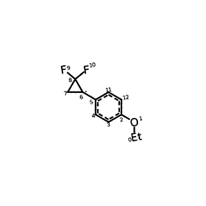 CCOc1ccc([C]2CC2(F)F)cc1